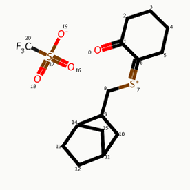 O=C1CCCCC1=[S+]CC1CC2CCC1C2.O=S(=O)([O-])C(F)(F)F